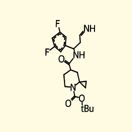 CC(C)(C)OC(=O)N1CCC(C(=O)NC(CC=N)c2cc(F)cc(F)c2)CC12CC2